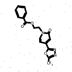 O=C(OCCn1ccc(-c2nnc(C(F)(F)F)o2)cc1=O)c1ccccc1